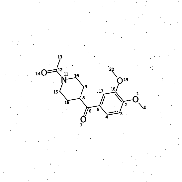 COc1ccc(C(=O)C2CCN(C(C)=O)CC2)cc1OC